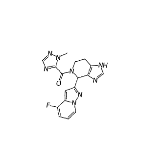 Cn1ncnc1C(=O)N1CCc2[nH]cnc2C1c1cc2c(F)cccn2n1